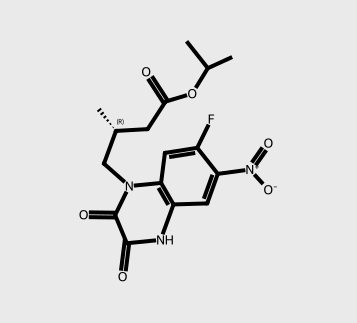 CC(C)OC(=O)C[C@@H](C)Cn1c(=O)c(=O)[nH]c2cc([N+](=O)[O-])c(F)cc21